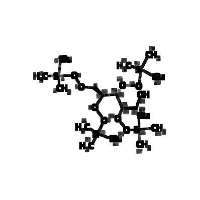 CC(C)(C)[Si](C)(C)OOC[C@H](OO[Si](C)(C)C(C)(C)C)[C@H](OO[Si](C)(C)C(C)(C)C)[C@@H](CO)OO[Si](C)(C)C(C)(C)C